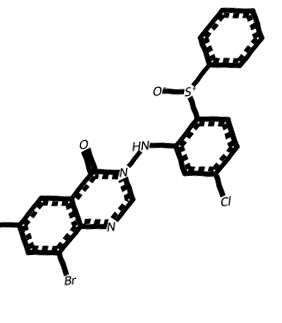 Cc1cc(Br)c2ncn(Nc3cc(Cl)ccc3[S+]([O-])c3ccccc3)c(=O)c2c1